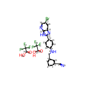 N#Cc1cccc(CNc2ccc(-c3nc4cc(Br)cnc4[nH]3)cc2)c1.O=C(O)C(F)(F)F.O=C(O)C(F)(F)F